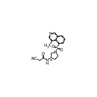 Cc1cncc2cccc(S(=O)(=O)N3CC[C@@H](NC(=O)CC#N)C3)c12